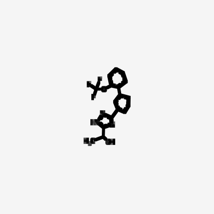 CC(O)c1nc(-c2cccc(-c3ccccc3OC(F)(F)F)c2)n[nH]1